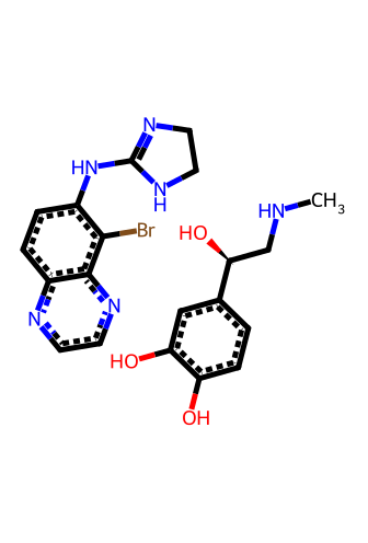 Brc1c(NC2=NCCN2)ccc2nccnc12.CNC[C@H](O)c1ccc(O)c(O)c1